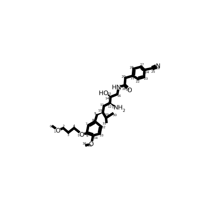 COCCCOc1cc(C[C@@H](C[C@H](N)[C@@H](O)CNC(=O)Cc2ccc(C#N)cc2)C(C)C)ccc1OC